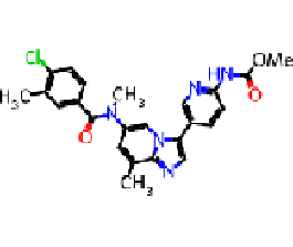 COC(=O)Nc1ccc(-c2cnc3c(C)cc(N(C)C(=O)c4ccc(Cl)c(C)c4)cn23)cn1